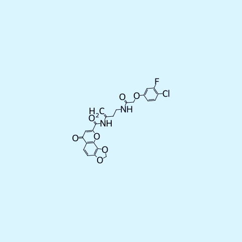 C=C(CCNC(=O)COc1ccc(Cl)c(F)c1)NC(=O)c1cc(=O)c2ccc3c(c2o1)OCO3